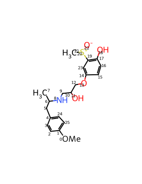 COc1ccc(CC(C)NCC(O)COc2ccc(O)c([S+](C)[O-])c2)cc1